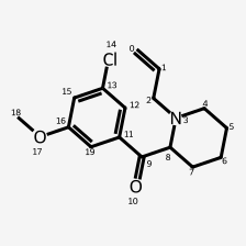 C=CCN1CCCCC1C(=O)c1cc(Cl)cc(OC)c1